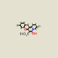 CCOC(=O)c1c(O)n2cc(F)ccc2c(Cc2ccc(F)cc2)c1=O